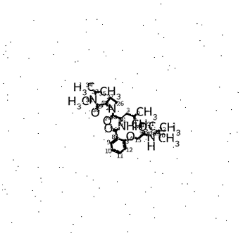 CC(C)C[C@@H](NC(=O)c1ccccc1OCC(=O)NC(C)(C)C)C(=O)N1CC[C@@H]1C(=O)N(C)C(C)C